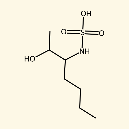 CCCCC(NS(=O)(=O)O)C(C)O